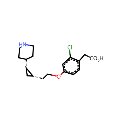 O=C(O)Cc1ccc(OCC[C@@H]2C[C@@H]2C2CCNCC2)cc1Cl